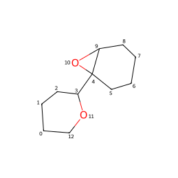 C1CCC(C23CCCCC2O3)OC1